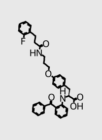 O=C(CCc1ccccc1F)NCCCOc1ccc(C[C@H](Nc2ccccc2C(=O)c2ccccc2)C(=O)O)cc1